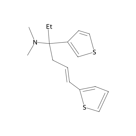 CCC(CC=Cc1cccs1)(c1ccsc1)N(C)C